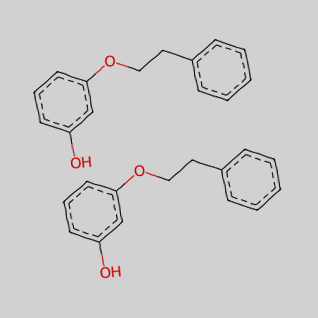 Oc1cccc(OCCc2ccccc2)c1.Oc1cccc(OCCc2ccccc2)c1